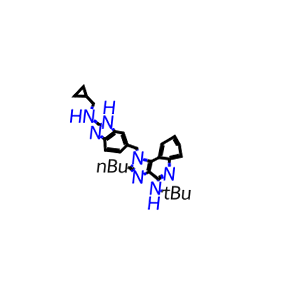 CCCCc1nc2c(NC(C)(C)C)nc3ccccc3c2n1Cc1ccc2nc(NCC3CC3)[nH]c2c1